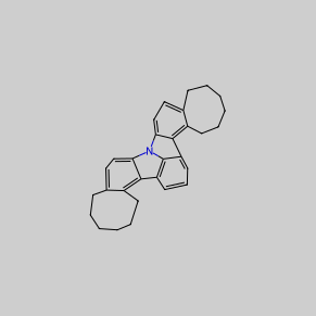 c1cc2c3c4c(ccc3n3c5ccc6c(c5c(c1)c23)CCCCCC6)CCCCCC4